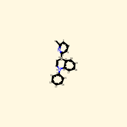 Cc1cccc(B2C=CN(c3ccccc3)c3ccccc32)n1